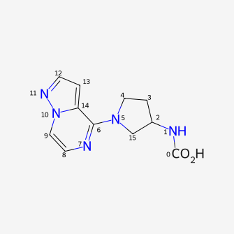 O=C(O)NC1CCN(c2nccn3nccc23)C1